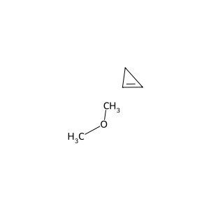 C1=CC1.COC